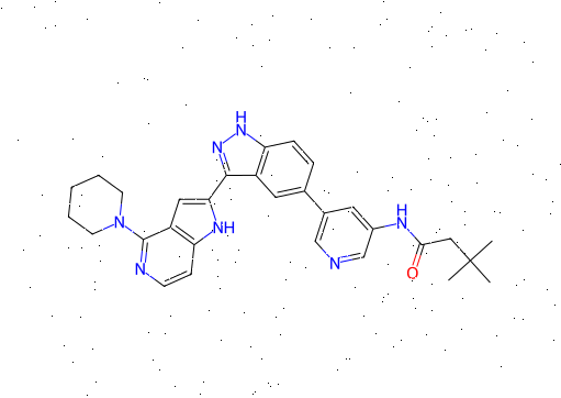 CC(C)(C)CC(=O)Nc1cncc(-c2ccc3[nH]nc(-c4cc5c(N6CCCCC6)nccc5[nH]4)c3c2)c1